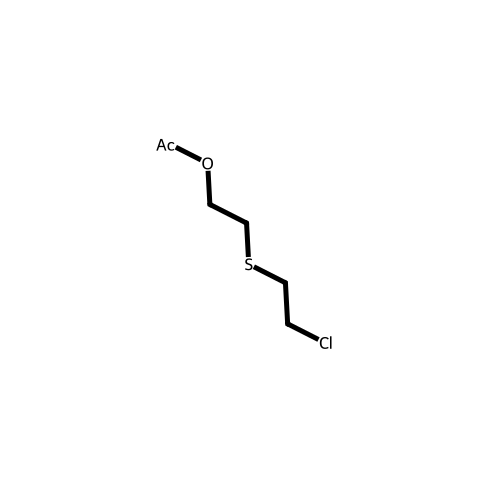 CC(=O)OCCSCCCl